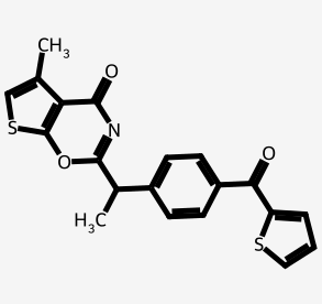 Cc1csc2oc(C(C)c3ccc(C(=O)c4cccs4)cc3)nc(=O)c12